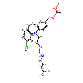 COC(C)OCc1ccc2c(c1)CCc1ccc(Cl)cc1N2CCCCNC/C=C/C(=O)O